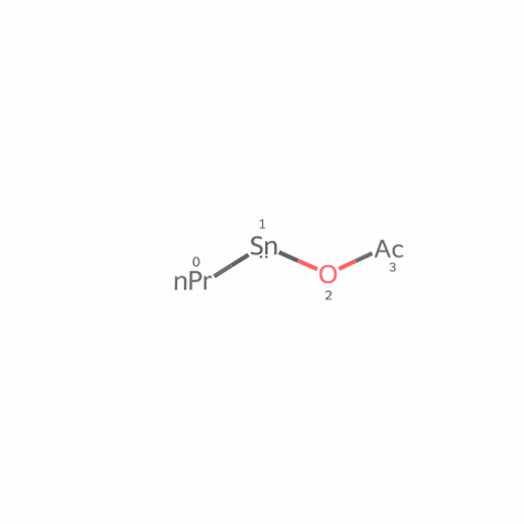 CC[CH2][Sn][O]C(C)=O